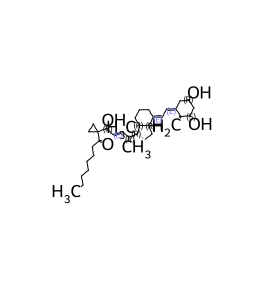 C=C1/C(=C\C=C2/CCC[C@]3(C)[C@@H]([C@H](C)/C=C/[C@@H](O)C4(C(=O)CCCCCCC)CC4)CC[C@@H]23)C[C@@H](O)C[C@@H]1O